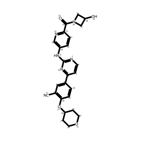 N#Cc1cc(-c2ccnc(Nc3ccc(C(=O)N4CC(O)C4)nc3)n2)ccc1OC1CCOCC1